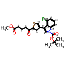 COC(=O)CCCC(=O)C1CC(c2cn(C(=O)OC(C)(C)C)c3cccc(F)c23)=CS1